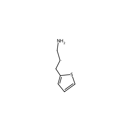 NC[CH]Cc1cccs1